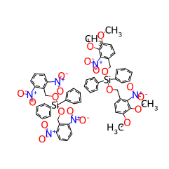 COc1ccc(CO[Si](OCc2ccc(OC)c(OC)c2[N+](=O)[O-])(c2ccccc2)c2ccccc2)c([N+](=O)[O-])c1OC.O=[N+]([O-])c1cccc([N+](=O)[O-])c1CO[Si](OCc1c([N+](=O)[O-])cccc1[N+](=O)[O-])(c1ccccc1)c1ccccc1